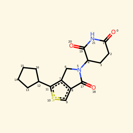 O=C1CCC(N2Cc3c(csc3C3CCCC3)C2=O)C(=O)N1